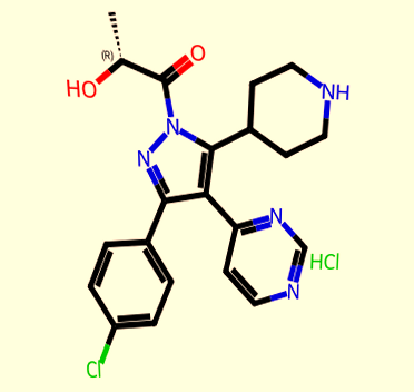 C[C@@H](O)C(=O)n1nc(-c2ccc(Cl)cc2)c(-c2ccncn2)c1C1CCNCC1.Cl